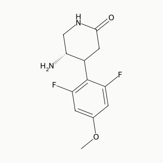 COc1cc(F)c(C2CC(=O)NC[C@H]2N)c(F)c1